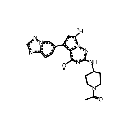 [2H]c1cc(-c2ccc3ncnn3c2)c2c(OC)nc(NC3CCN(C(C)=O)CC3)nn12